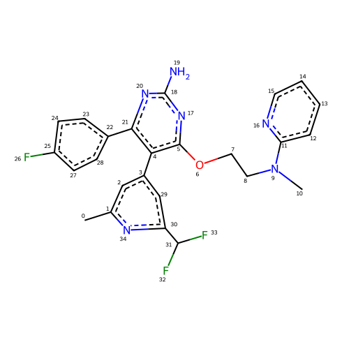 Cc1cc(-c2c(OCCN(C)c3ccccn3)nc(N)nc2-c2ccc(F)cc2)cc(C(F)F)n1